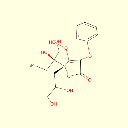 CC(C)C[C@](O)(CO)[C@@]1(CC(O)CO)OC(=O)C(Oc2ccccc2)=C1OO